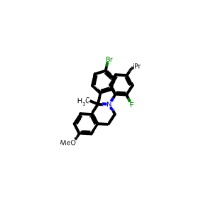 COc1ccc2c(c1)CCN(c1ccc(C(C)C)cc1F)C2(C)c1ccc(Br)cc1